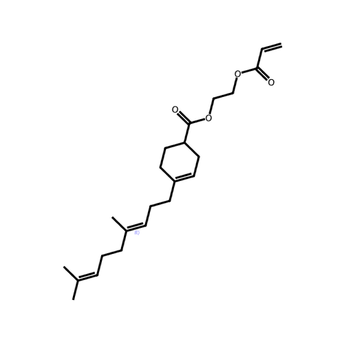 C=CC(=O)OCCOC(=O)C1CC=C(CC/C=C(\C)CCC=C(C)C)CC1